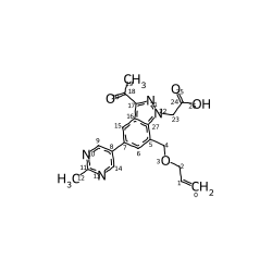 C=CCOCc1cc(-c2cnc(C)nc2)cc2c(C(C)=O)nn(CC(=O)O)c12